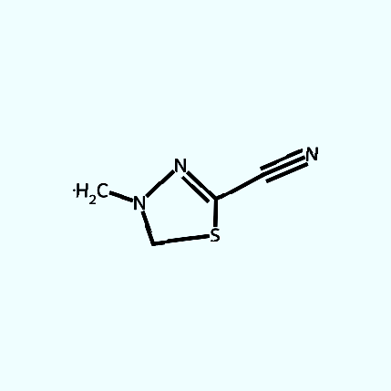 [CH2]N1CSC(C#N)=N1